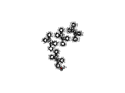 C[Si](C)(CP(c1ccccc1)c1ccccc1)CP(c1ccccc1)c1ccccc1.C[Si](C)(CP(c1ccccc1)c1ccccc1)CP(c1ccccc1)c1ccccc1.C[Si](C)(CP(c1ccccc1)c1ccccc1)CP(c1ccccc1)c1ccccc1.C[Si](C)(CP(c1ccccc1)c1ccccc1)CP(c1ccccc1)c1ccccc1.[S-2].[S-2]